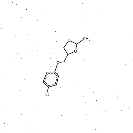 CCc1ccc(OCC2COC(C)O2)cc1